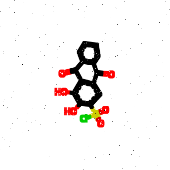 O=C1c2ccccc2C(=O)c2c1cc(S(=O)(=O)Cl)c(O)c2O